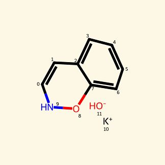 C1=Cc2ccccc2ON1.[K+].[OH-]